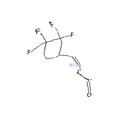 O=[C]/C=C/C1CC(F)(F)C1(F)F